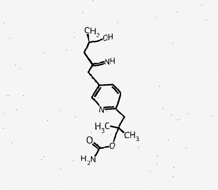 C[C@@H](O)CC(=N)Cc1ccc(CC(C)(C)OC(N)=O)nc1